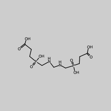 O=C(O)CCP(=O)(O)CNCNCP(=O)(O)CCC(=O)O